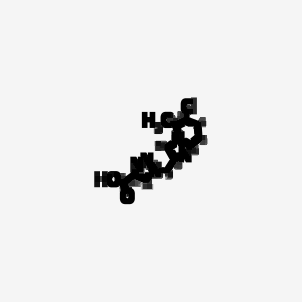 Cc1c(Cl)ccc2nc(Cn3cc(C(=O)O)nn3)cn12